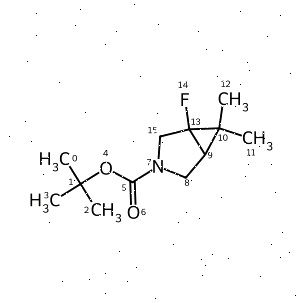 CC(C)(C)OC(=O)N1CC2C(C)(C)C2(F)C1